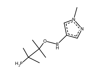 Cn1cc(BOC(C)(C)C(C)(C)P)cn1